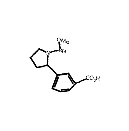 COBN1CCCC1c1cccc(C(=O)O)c1